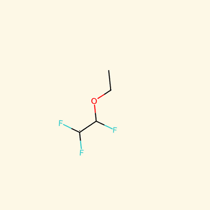 CCOC(F)[C](F)F